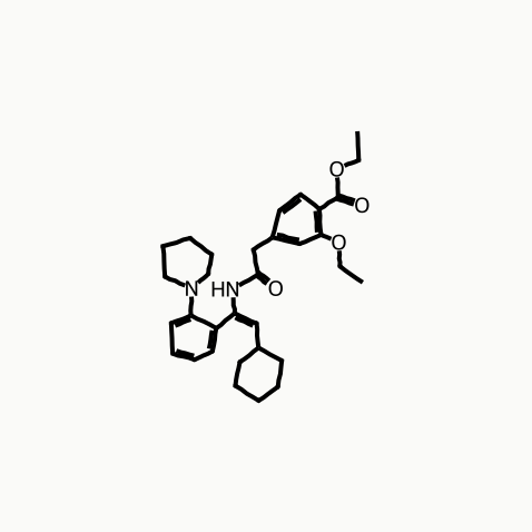 CCOC(=O)c1ccc(CC(=O)NC(=CC2CCCCC2)c2ccccc2N2CCCCC2)cc1OCC